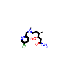 C[C@H](CCN(C)Cc1ccc(Cl)cn1)[C@@H](O)CC(N)=O